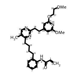 C=CC(=O)Nc1ccccc1CCCCc1nc(CCc2cc(OC)nc(OCCOC)c2)ncc1C